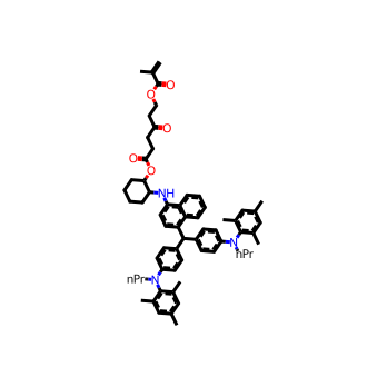 C=C(C)C(=O)OCCC(=O)CCC(=O)OC1CCCCC1Nc1ccc(C(c2ccc(N(CCC)c3c(C)cc(C)cc3C)cc2)c2ccc(N(CCC)c3c(C)cc(C)cc3C)cc2)c2ccccc12